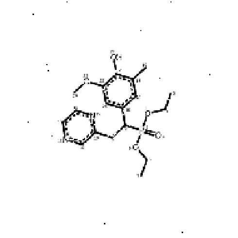 CCOP(=O)(OCC)C(Cc1cnccn1)c1cc(C)c(O)c(OC)c1